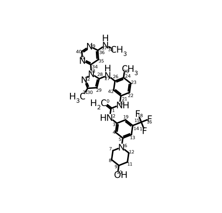 C=C(Nc1cc(N2CCC(O)CC2)cc(C(F)(F)F)c1)Nc1ccc(C)c(Nc2cc(C)nn2-c2cc(NC)ncn2)c1